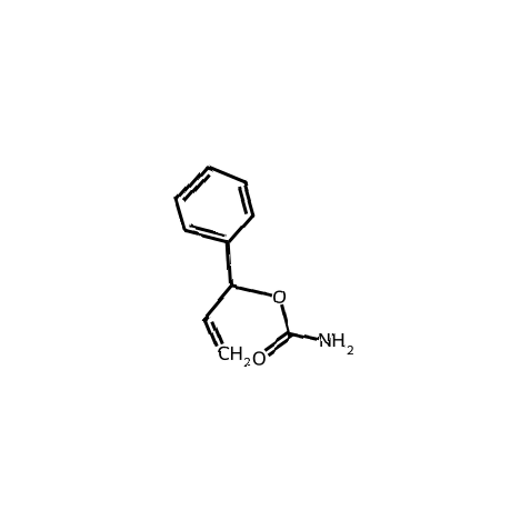 C=CC(OC(N)=O)c1ccccc1